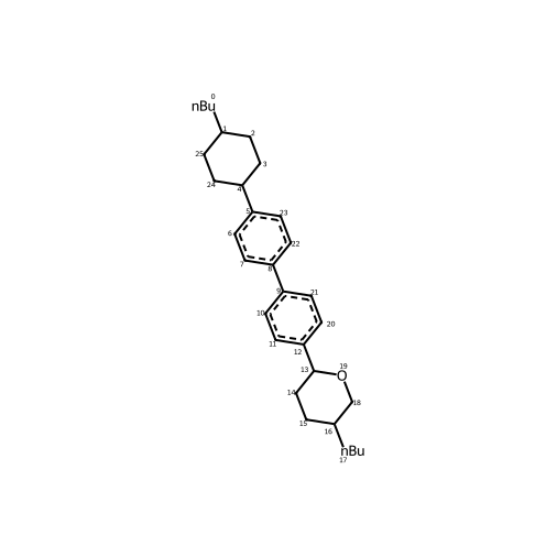 CCCCC1CCC(c2ccc(-c3ccc(C4CCC(CCCC)CO4)cc3)cc2)CC1